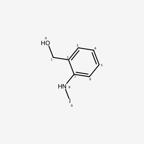 OCc1ccccc1NI